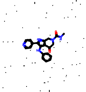 CNC(=O)N1CC(=O)c2c([nH]c(-c3ccncc3)c2Nc2ccccc2)C1